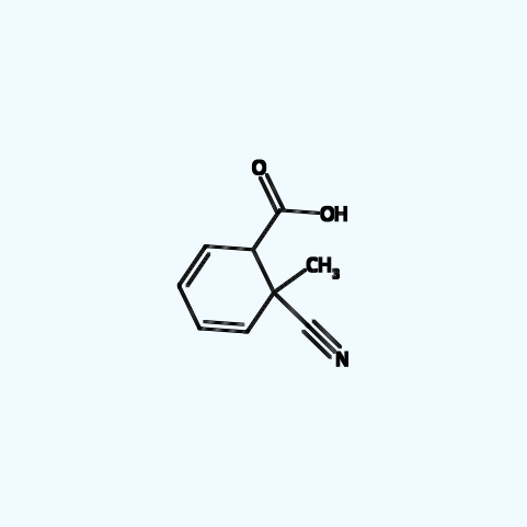 CC1(C#N)C=CC=CC1C(=O)O